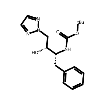 CC(C)(C)OC(=O)N[C@H](Cc1ccccc1)[C@H](O)Cn1nccn1